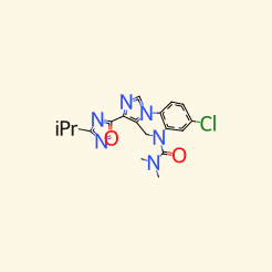 CC(C)c1noc(-c2ncn3c2CN(C(=O)N(C)C)c2cc(Cl)ccc2-3)n1